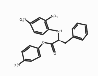 O=C(Oc1ccc([N+](=O)[O-])cc1)[C@H](Cc1ccccc1)Nc1ccc([N+](=O)[O-])cc1[N+](=O)[O-]